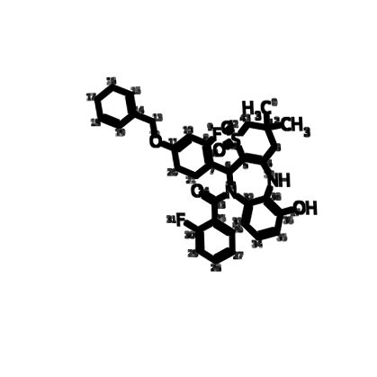 CC1(C)CC2=C(C(C3=C(F)C=C(OCC4=CCCC=C4)CC3)N(C(=O)c3ccccc3F)c3cccc(O)c3N2)S(=O)(=O)C1